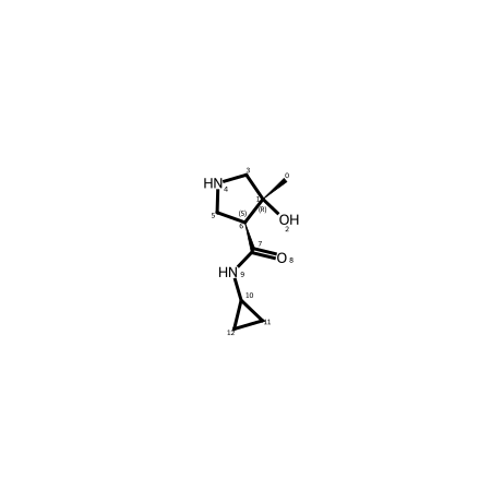 C[C@]1(O)CNC[C@@H]1C(=O)NC1CC1